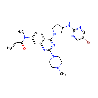 C=CC(=O)N(C)c1ccc2c(N3CCC(Nc4ncc(Br)cn4)C3)nc(N3CCN(C)CC3)nc2c1